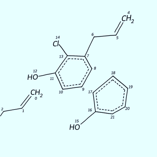 C=CCCl.C=CCc1cccc(O)c1Cl.Oc1ccccc1